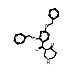 O=C1CCNCC1C(=O)c1ccc(OCc2ccccc2)cc1OCc1ccccc1